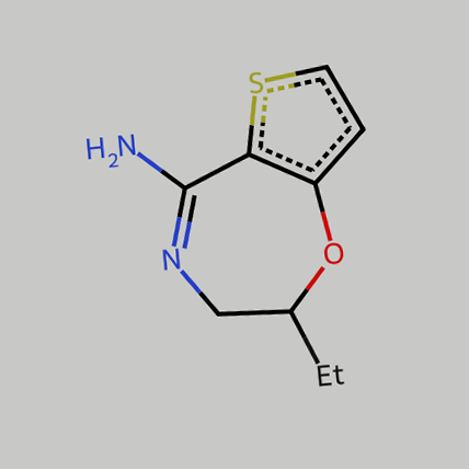 CCC1CN=C(N)c2sccc2O1